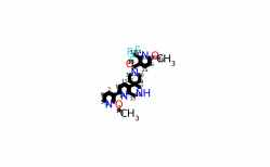 CCOc1ncccc1-c1ccc2c(n1)CNCC21CCN(C(=O)c2ccc(OC)nc2C(F)(F)F)CC1